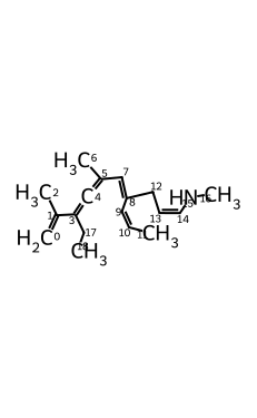 C=C(C)C(=C=C(C)/C=C(\C=C/C)C/C=C\NC)CC